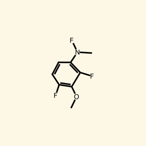 COc1c(F)ccc(N(C)F)c1F